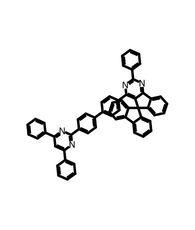 c1ccc(-c2cc(-c3ccccc3)nc(-c3ccc(-c4ccc(-c5nc(-c6ccccc6)nc6c5C5(c7ccccc7-c7ccccc75)c5ccccc5-6)cc4)cc3)n2)cc1